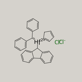 C1=CC[C]([Hf+2](=[C](c2ccccc2)c2ccccc2)[CH]2c3ccccc3-c3ccccc32)=C1.[Cl-].[Cl-]